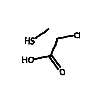 CS.O=C(O)CCl